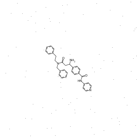 NC(CC(=O)N(CCc1ccccc1)Cc1ccccc1)c1ccc(C(=O)Nc2ccncc2)cc1